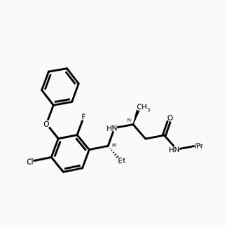 CC[C@@H](N[C@@H](C)CC(=O)NC(C)C)c1ccc(Cl)c(Oc2ccccc2)c1F